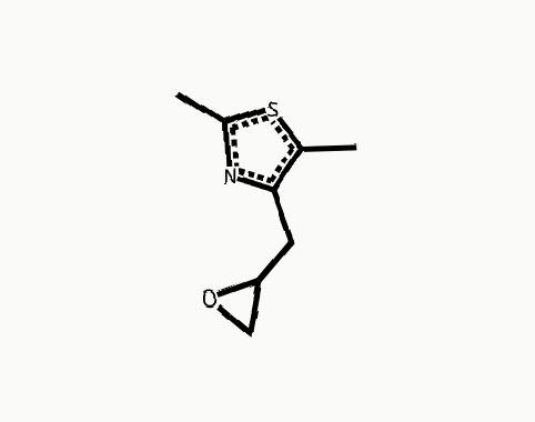 Cc1nc(CC2CO2)c(C)s1